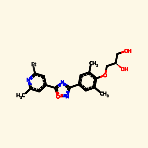 CCc1cc(-c2nc(-c3cc(C)c(OC[C@@H](O)CO)c(C)c3)no2)cc(C)n1